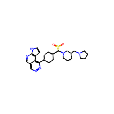 O=[SH](=O)C(C1CCC(c2nncc3cnc4[nH]ccc4c23)CC1)N1CCCC(CN2CCCC2)C1